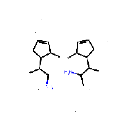 CC(N)C(C)C1CC=CC1C.CC1C=CCC1C(C)CN